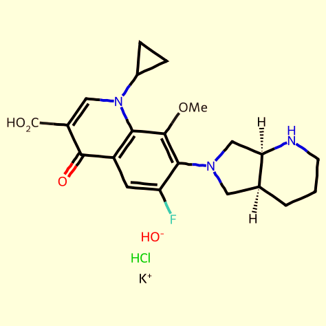 COc1c(N2C[C@@H]3CCCN[C@@H]3C2)c(F)cc2c(=O)c(C(=O)O)cn(C3CC3)c12.Cl.[K+].[OH-]